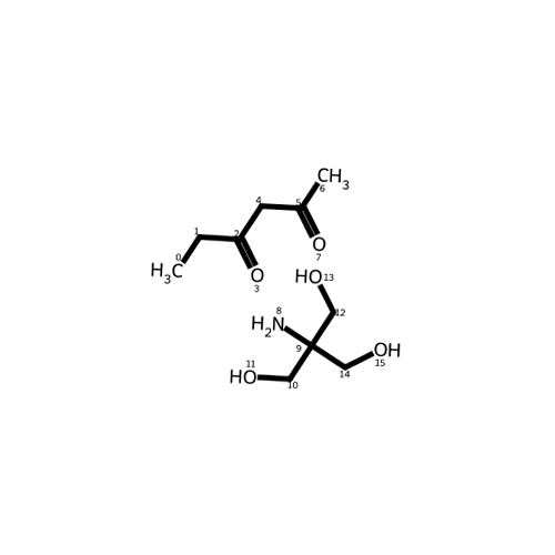 CCC(=O)CC(C)=O.NC(CO)(CO)CO